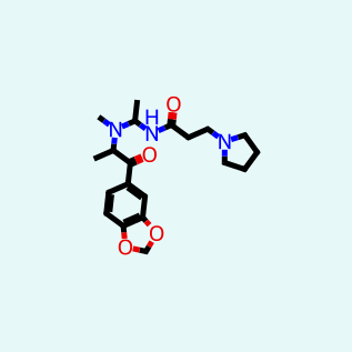 CC(NC(=O)CCN1CCCC1)N(C)C(C)C(=O)c1ccc2c(c1)OCO2